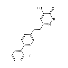 O=c1[nH]nc(CCc2ccc(-c3ccccc3F)cc2)cc1O